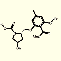 COC(=O)c1c(OC[C@@H]2C[C@@H](O)CN2C(=O)OC(C)(C)C)cc(C)cc1OC(C)C